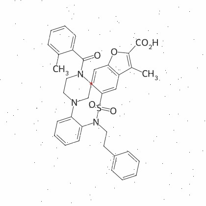 Cc1ccccc1C(=O)N1CCN(c2ccccc2N(CCc2ccccc2)S(=O)(=O)c2ccc3oc(C(=O)O)c(C)c3c2)CC1